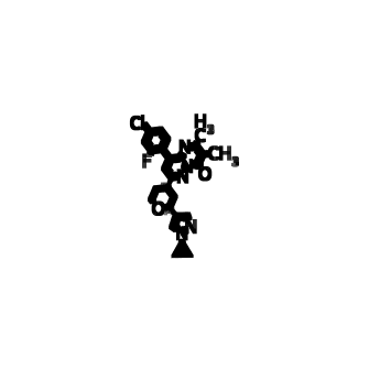 Cc1nc2c(-c3ccc(Cl)cc3F)cc([C@@H]3CCO[C@H](c4cnn(C5CC5)c4)C3)nn2c(=O)c1C